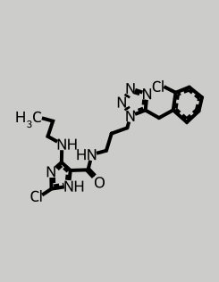 CCCNc1nc(Cl)[nH]c1C(=O)NCCCn1nnnc1Cc1ccccc1Cl